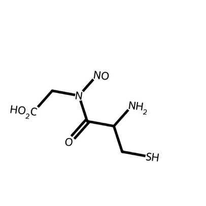 NC(CS)C(=O)N(CC(=O)O)N=O